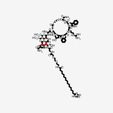 CCCC[C@H](NC(=O)[C@H](CN(CC(=O)O)CC(=O)O)NC(=O)[C@H](Cc1c[nH]cn1)NC(=O)[C@H](CCC(N)=O)NC(=O)[C@H](CO)NC(=O)CNC(=O)COCCOCCNC(=O)CCCCCCCCCCCCCCCC1=NNNN1)C(=O)N[C@H]1CCC(=O)CCCCC[C@@H](C(N)=O)NC(=O)[C@H](Cc2c[nH]c3ccccc23)NC(=O)[C@H](CCCNC(=N)N)NC(=O)[C@@H](Cc2ccccc2)NC(=O)[C@@H]2C[C@@H](O)CN2C1=O